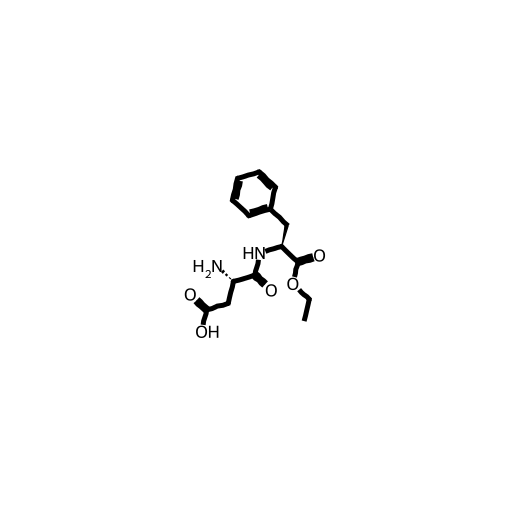 CCOC(=O)[C@H](Cc1ccccc1)NC(=O)[C@@H](N)CC(=O)O